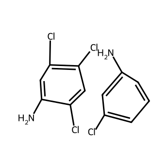 Nc1cc(Cl)c(Cl)cc1Cl.Nc1cccc(Cl)c1